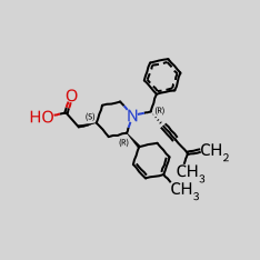 C=C(C)C#C[C@@H](c1ccccc1)N1CC[C@H](CC(=O)O)C[C@@H]1C1C=CC(C)=CC1